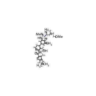 CNC(/C=C1/CN(CCOC)CCN1)Nc1cc(-c2ccnc(N3CCc4c(sc5c4CC(C)(C)C5)C3=O)c2CO)cn(C)c1=O